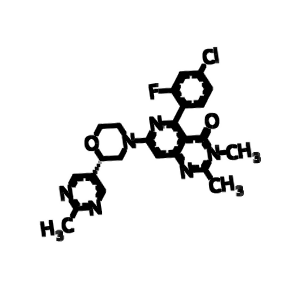 Cc1ncc([C@H]2CN(c3cc4nc(C)n(C)c(=O)c4c(-c4ccc(Cl)cc4F)n3)CCO2)cn1